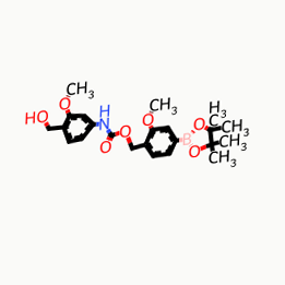 COc1cc(NC(=O)OCc2ccc(B3OC(C)(C)C(C)(C)O3)cc2OC)ccc1CO